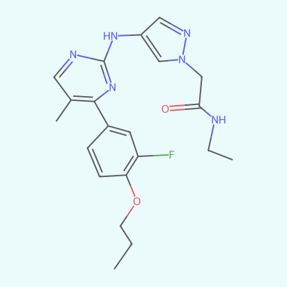 CCCOc1ccc(-c2nc(Nc3cnn(CC(=O)NCC)c3)ncc2C)cc1F